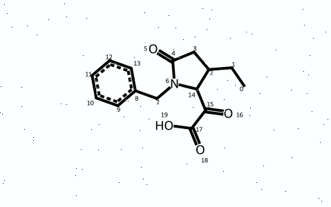 CCC1CC(=O)N(Cc2ccccc2)C1C(=O)C(=O)O